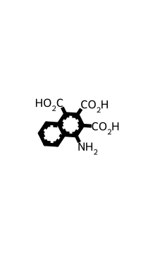 Nc1c(C(=O)O)c(C(=O)O)c(C(=O)O)c2ccccc12